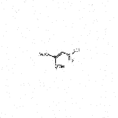 COC(=C[SiH2]Cl)OC